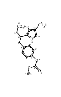 CC(C)(C)OC(=O)Oc1ccc(CC(CC(=O)O)c2nc(C(=O)O)co2)cc1